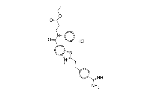 CCOC(=O)CCN(C(=O)c1ccc2c(c1)nc(CCc1ccc(C(=N)N)cc1)n2C)c1ccccc1.Cl